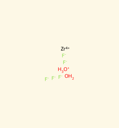 O.[F-].[F-].[F-].[F-].[F-].[OH3+].[Zr+4]